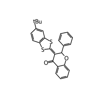 CC(C)(C)c1ccc2c(c1)S/C(=C1/C(=O)c3ccccc3OC1c1ccccc1)S2